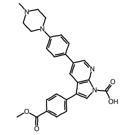 COC(=O)c1ccc(-c2cn(C(=O)O)c3ncc(-c4ccc(N5CCN(C)CC5)cc4)cc23)cc1